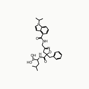 CC(C)CC(NC(=O)C1(Cc2ccccc2)CC(CNC(=O)c2cccc3c2ccn3C(C)C)=NO1)B(O)O